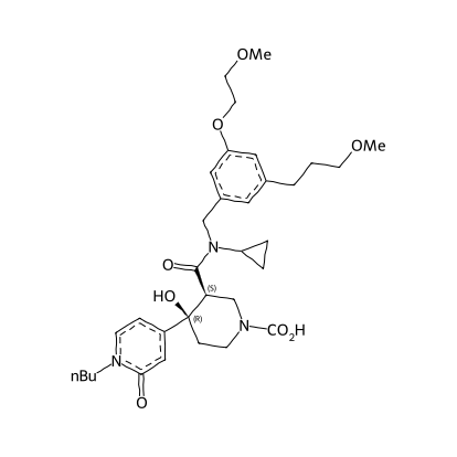 CCCCn1ccc([C@@]2(O)CCN(C(=O)O)C[C@@H]2C(=O)N(Cc2cc(CCCOC)cc(OCCOC)c2)C2CC2)cc1=O